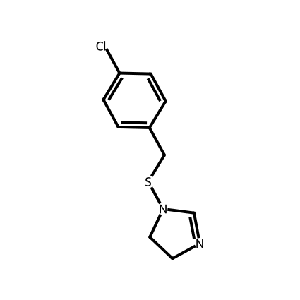 Clc1ccc(CSN2C=NCC2)cc1